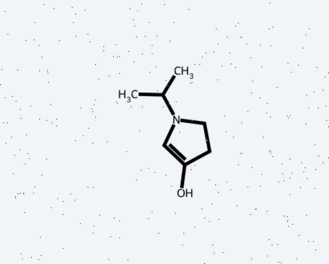 CC(C)N1C=C(O)CC1